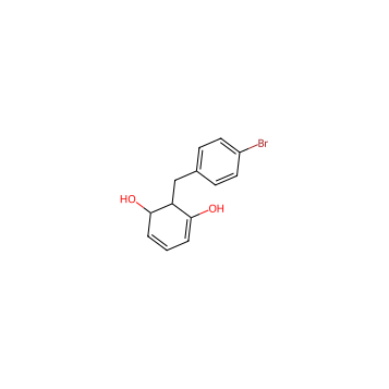 OC1=CC=CC(O)C1Cc1ccc(Br)cc1